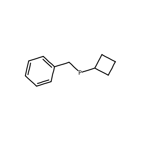 c1ccc(C[P]C2CCC2)cc1